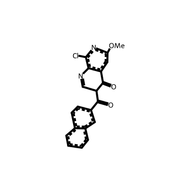 COc1cc2c(c(Cl)n1)N=CC(C(=O)c1ccc3ccccc3c1)C2=O